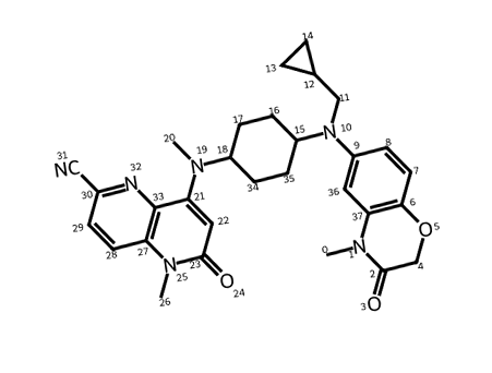 CN1C(=O)COc2ccc(N(CC3CC3)C3CCC(N(C)c4cc(=O)n(C)c5ccc(C#N)nc45)CC3)cc21